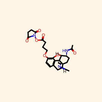 CC(=O)N[C@H]1CCC2[C@H]3Cc4ccc(OCCCC(=O)ON5C(=O)CCC5=O)c5c4[C@@]2(CCN3C)[C@H]1O5